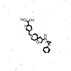 OC(O)c1ccc(CN2CCC3(CC2)CC(N[C@@H]2C[C@H]2c2ccccc2)CO3)cn1